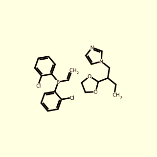 C=CB(c1ccccc1Cl)c1ccccc1Cl.CCC(Cn1ccnc1)C1OCCO1